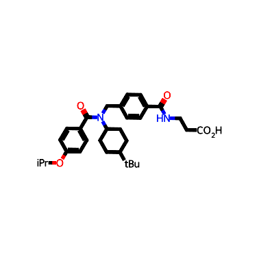 CC(C)Oc1ccc(C(=O)N(Cc2ccc(C(=O)NCCC(=O)O)cc2)C2CCC(C(C)(C)C)CC2)cc1